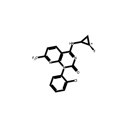 O=c1nc(NC2C[C@H]2F)c2ccc(C(F)(F)F)nc2n1-c1ccccc1Cl